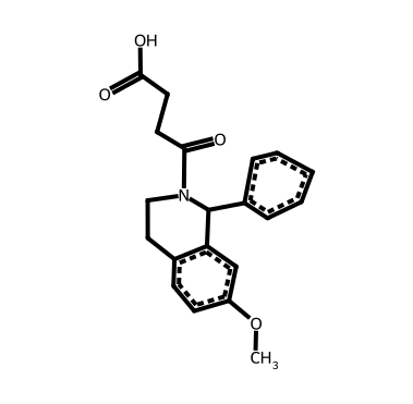 COc1ccc2c(c1)C(c1ccccc1)N(C(=O)CCC(=O)O)CC2